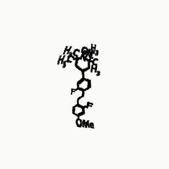 COc1ccc(CCc2ccc(C3CC(C)(C)N(O)C(C)(C)C3)cc2F)c(F)c1